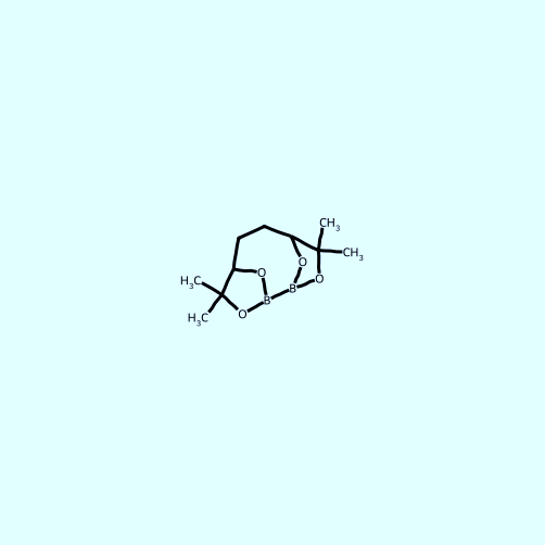 CC1(C)OB2OC1CCC1OB2OC1(C)C